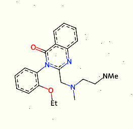 CCOc1ccccc1-n1c(CN(C)CCNC)nc2ccccc2c1=O